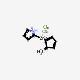 C=C1C=CC=[C]1[Zr+2][c]1ccc[nH]1.[Cl-].[Cl-]